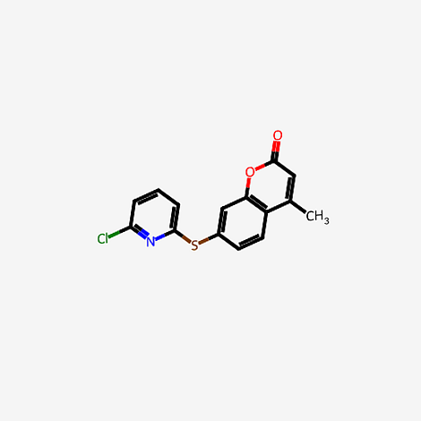 Cc1cc(=O)oc2cc(Sc3cccc(Cl)n3)ccc12